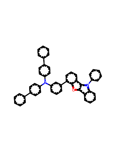 c1ccc(-c2ccc(N(c3ccc(-c4ccccc4)cc3)c3cccc(-c4cccc5c4oc4c6ccccc6n(-c6ccccc6)c54)c3)cc2)cc1